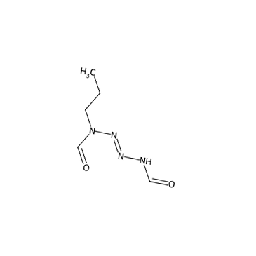 CCCN(C=O)N=NNC=O